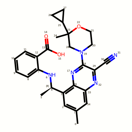 Cc1cc([C@@H](C)Nc2ccccc2C(=O)O)c2nc(N3CCOC(C)(C4CC4)C3)c(C#N)nc2c1